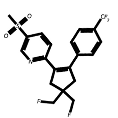 CS(=O)(=O)c1ccc(C2=C(c3ccc(C(F)(F)F)cc3)CC(CF)(CF)C2)nc1